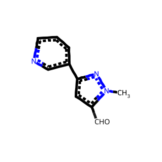 Cn1nc(-c2cccnc2)cc1C=O